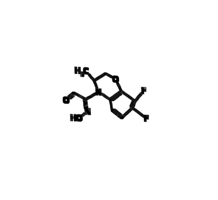 CC1COc2c(ccc(F)c2F)N1C(C=O)=NO